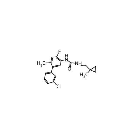 Cc1cc(F)c(NC(=O)NCCC2(C)CC2)cc1-c1cccc(Cl)c1